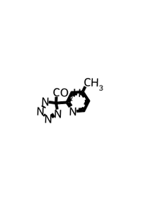 Cc1ccnc(C2(C(=O)O)N=NN=N2)c1